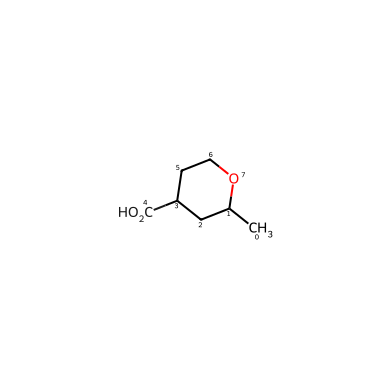 CC1CC(C(=O)O)CCO1